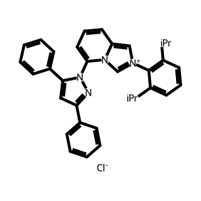 CC(C)c1cccc(C(C)C)c1-[n+]1cc2cccc(-n3nc(-c4ccccc4)cc3-c3ccccc3)n2c1.[Cl-]